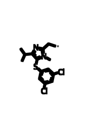 [CH2]Cc1nc(C(C)C)c(Sc2cc(Cl)cc(Cl)c2)n1C